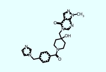 Cn1ncc2c(=O)n(CC3(O)CCN(C(=O)c4ccc(Cn5ccnc5)cc4)CC3)cnc21